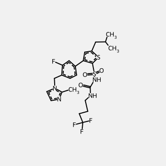 Cc1nccn1Cc1ccc(-c2cc(CC(C)C)sc2S(=O)(=O)NC(=O)NCCCC(F)(F)F)cc1F